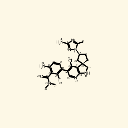 Cc1nc(N)nn1[C@H]1CC[C@]2(CNc3ncc(-c4ccc(N)c(C(=O)N(C)C)c4F)c(Cl)c32)C1